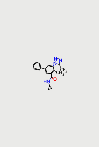 Cc1c(C(=O)NC2CC2)cc(-c2ccccc2)cc1-n1ncnc1C(F)(F)F